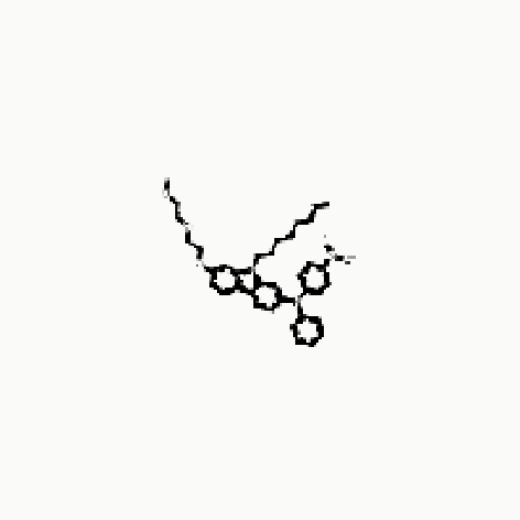 CCCCCCCCn1c2cc(OCCOCCOC)ccc2c2ccc(N(c3ccccc3)c3ccc([N+](=O)[O-])cc3)cc21